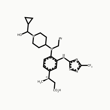 CC(C)CN(c1ccc([C@H](C)CC(=O)O)cc1Nc1nc(C(F)(F)F)ns1)C1CCN(C(O)C2CC2)CC1